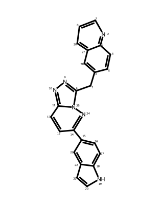 c1cnc2ccc(Cc3nnc4ccc(-c5ccc6[nH]ccc6c5)nn34)cc2c1